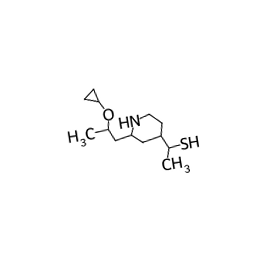 CC(CC1CC(C(C)S)CCN1)OC1CC1